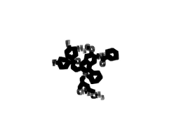 CCCCC(CC)Cn1c2ccccc2c2c3cc(NC(=O)c4ccccc4)c(OC)cc3c3c(c21)C=CC(c1ccc(F)cc1)(c1ccc(F)cc1)O3